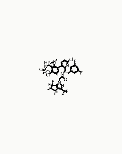 C[C@@H]1c2c(C(F)F)nn(CC(=O)N[C@@H](Cc3cc(F)cc(F)c3)c3nc(Cl)ccc3-c3ccc(Cl)c4c(NS(C)(=O)=O)nn(C)c34)c2C(F)(F)[C@@H]1C